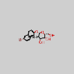 CC(=O)N[C@H]1[C@H](Oc2ccc3cc(Br)ccc3c2)O[C@H](CO)[C@@H](O)[C@@H]1O